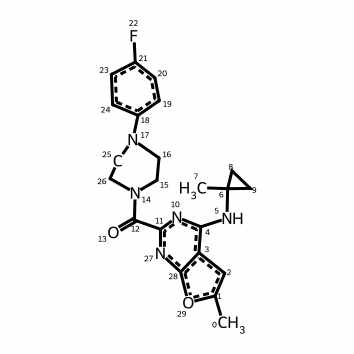 Cc1cc2c(NC3(C)CC3)nc(C(=O)N3CCN(c4ccc(F)cc4)CC3)nc2o1